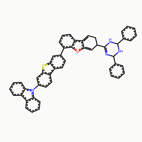 C1=c2oc3c(-c4ccc5c(c4)sc4cc(-n6c7ccccc7c7ccccc76)ccc45)cccc3c2=CCC1C1=NC(c2ccccc2)NC(c2ccccc2)N1